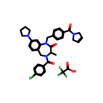 CC1C(=O)N(Cc2ccc(C(=O)N3CC=CC3)cc2)c2cc(N3CCCC3)ccc2CN1C(=O)c1ccc(Cl)cc1.O=C(O)C(F)(F)F